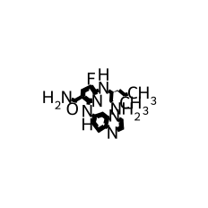 CC(C)C[C@H](CN)Nc1nc(Nc2ccc3nccnc3c2)c(C(N)=O)cc1F